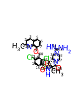 Cc1ccc2cccc(OCc3c(Cl)ccc(S(=O)(=O)NC(C)(C)C(=O)N4CCN(C(=N)N)CC4)c3Cl)c2n1